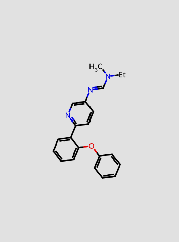 CCN(C)C=Nc1ccc(-c2ccccc2Oc2ccccc2)nc1